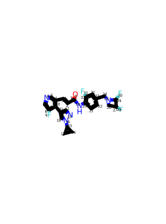 O=C(C=Cc1cncc(F)c1-c1cnn(C2CC2)c1)Nc1ccc(CN2CC(F)C2F)cc1F